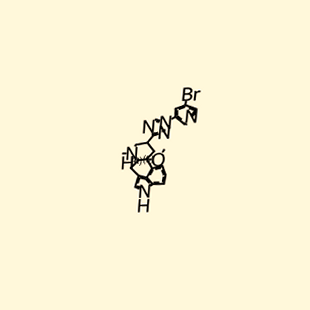 CO[C@]12CC(c3ncn(-c4cncc(Br)c4)n3)CN(C)[C@@H]1Cc1c[nH]c3cccc2c13